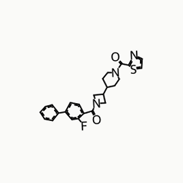 O=C(c1nccs1)N1CCC(C2CN(C(=O)c3ccc(-c4ccccc4)cc3F)C2)CC1